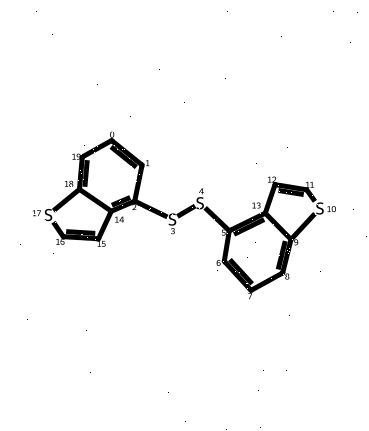 c1cc(SSc2cccc3sccc23)c2ccsc2c1